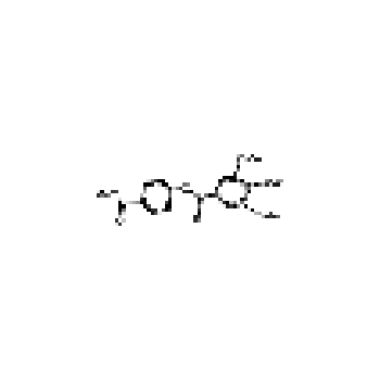 COC(=O)c1ccc(OC(=O)c2cc(OC)c(OC)c(OC)c2)cc1